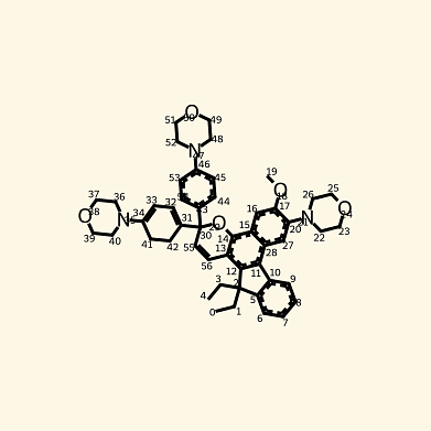 CCC1(CC)c2ccccc2-c2c1c1c(c3cc(OC)c(N4CCOCC4)cc23)OC(C2=CC=C(N3CCOCC3)CC2)(c2ccc(N3CCOCC3)cc2)C=C1